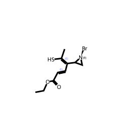 CCOC(=O)/C=C/C(=C(/C)S)C1C[N@]1Br